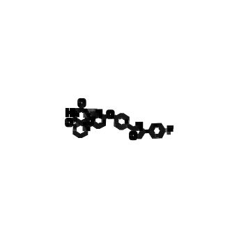 O=C1NC(=O)C2(CCCCN2c2ccc(Oc3ccc(-c4nc(-c5ccc(F)cc5)co4)cc3)nc2)C(=O)N1